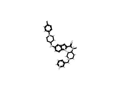 Cc1ccc(N2CCC(Oc3ccc4oc(C(=O)N(C)C5CCN(Cc6cccnc6)CC5)cc4c3)CC2)cc1